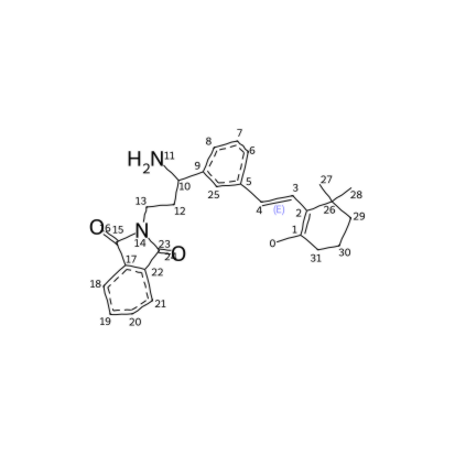 CC1=C(/C=C/c2cccc(C(N)CCN3C(=O)c4ccccc4C3=O)c2)C(C)(C)CCC1